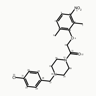 Cc1ccc([N+](=O)[O-])c(C)c1OCC(=O)N1CCN(Cc2ccc(Cl)cc2)CC1